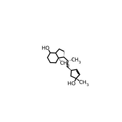 C[C@H](C[C@H]1C=C[C@](C)(O)C1)[C@H]1CCC2C(O)CCC[C@@]21C